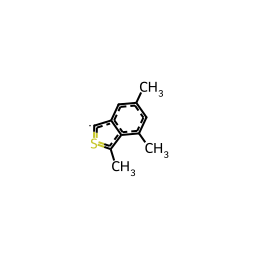 Cc1cc(C)c2c(C)s[c]c2c1